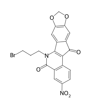 O=C1c2cc3c(cc2-c2c1c1ccc([N+](=O)[O-])cc1c(=O)n2CCCBr)OCO3